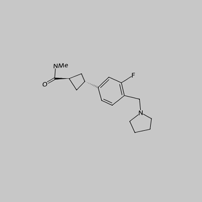 CNC(=O)[C@H]1C[C@H](c2ccc(CN3CCCC3)c(F)c2)C1